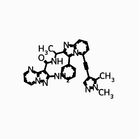 Cc1c(C#Cc2cccc3nc(C(C)NC(=O)c4c(N)nn5cccnc45)c(-c4ccccc4)n23)cnn1C